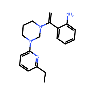 C=C(c1ccccc1N)N1CCCN(c2cccc(CC)n2)C1